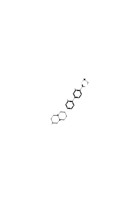 CC1CC[C@@H]2C[C@H](c3ccc(-c4ccc(C5=NC(C)(C)CO5)c(F)c4)c(F)c3)CC[C@@H]2C1